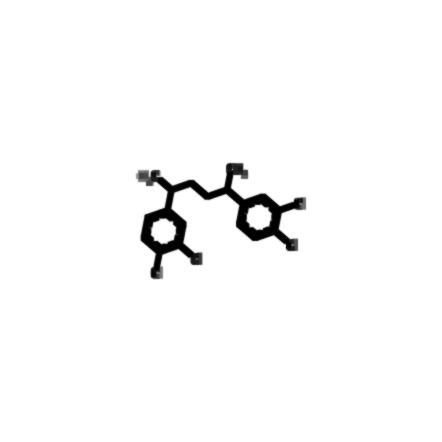 [CH2]C(CCC(C)c1ccc(Cl)c(Cl)c1)c1ccc(Cl)c(Cl)c1